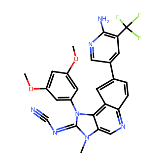 COc1cc(OC)cc(-n2c(=NC#N)n(C)c3cnc4ccc(-c5cnc(N)c(C(F)(F)F)c5)cc4c32)c1